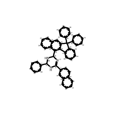 c1ccc(C2NC(c3ccc4ccccc4c3)=NC(c3c4c(cc5ccccc35)C(c3ccccc3)(c3ccccc3)c3ccccc3-4)N2)cc1